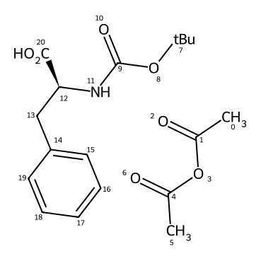 CC(=O)OC(C)=O.CC(C)(C)OC(=O)N[C@@H](Cc1ccccc1)C(=O)O